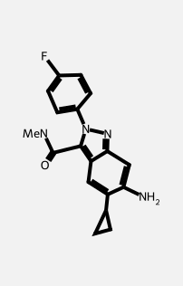 CNC(=O)c1c2cc(C3CC3)c(N)cc2nn1-c1ccc(F)cc1